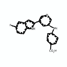 O=C(O)c1ccc(Nc2cncc(-c3cc4cc(F)ccc4[nH]3)c2)cc1